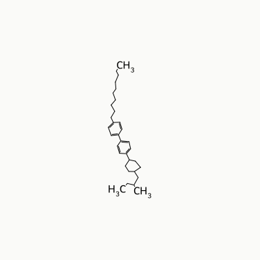 CCCCCCCCCCc1ccc(-c2ccc(C3CCC(CC(C)CC)CC3)cc2)cc1